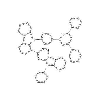 c1ccc(-c2cc(-c3ccccc3)nc(-c3ccc(-n4c5ccccc5c5cccc(-c6ccc7c8cccnc8n(-c8ccccc8)c7c6)c54)cc3)c2)cc1